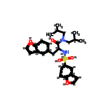 CC(C)CN(CC(C)C)C(=O)C(Cc1ccc2occc2c1)NS(=O)(=O)c1ccc2occc2c1